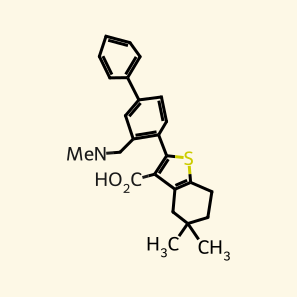 CNCc1cc(-c2ccccc2)ccc1-c1sc2c(c1C(=O)O)CC(C)(C)CC2